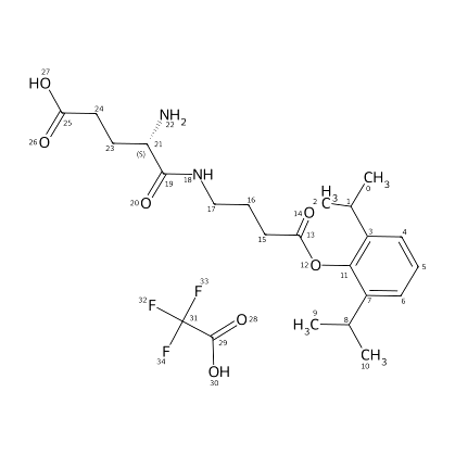 CC(C)c1cccc(C(C)C)c1OC(=O)CCCNC(=O)[C@@H](N)CCC(=O)O.O=C(O)C(F)(F)F